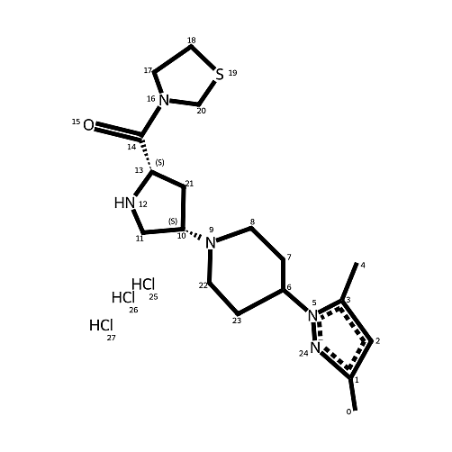 Cc1cc(C)n(C2CCN([C@@H]3CN[C@H](C(=O)N4CCSC4)C3)CC2)n1.Cl.Cl.Cl